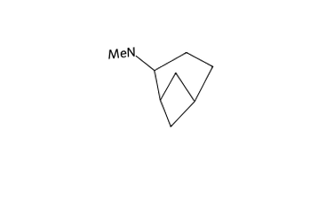 CNC1CCC2CC1C2